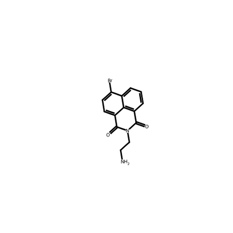 NCCN1C(=O)c2cccc3c(Br)ccc(c23)C1=O